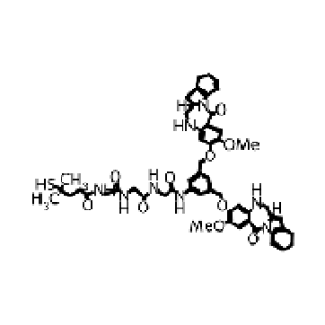 COc1cc2c(cc1OCc1cc(COc3cc4c(cc3OC)C(=O)N3C5=C(CCC=C5)C[C@H]3CN4)cc(NC(=O)CNC(=O)CNC(=O)CNC(=O)CCC(C)(C)S)c1)NC[C@@H]1CC3=C(C=CCC3)N1C2=O